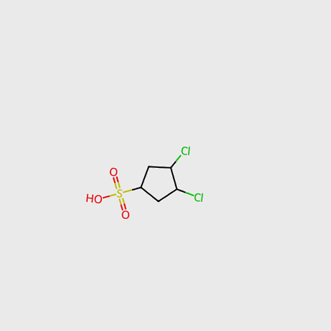 O=S(=O)(O)C1CC(Cl)C(Cl)C1